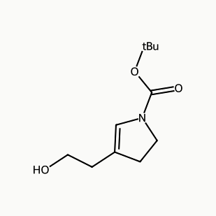 CC(C)(C)OC(=O)N1C=C(CCO)CC1